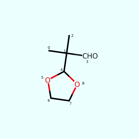 CC(C)(C=O)C1OCCO1